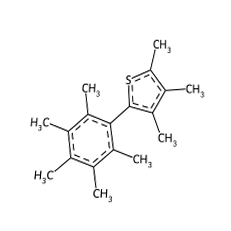 Cc1sc(-c2c(C)c(C)c(C)c(C)c2C)c(C)c1C